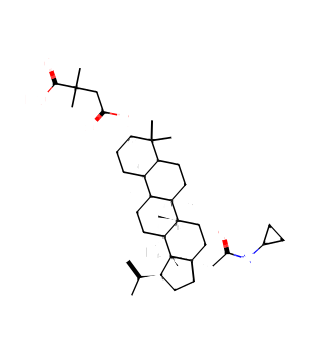 C=C(C)[C@@H]1CC[C@]2(CC(=O)NC3CC3)CC[C@]3(C)[C@H](CCC4[C@@]5(C)CC[C@H](OC(=O)CC(C)(C)C(=O)O)C(C)(C)C5CC[C@]43C)[C@@H]12